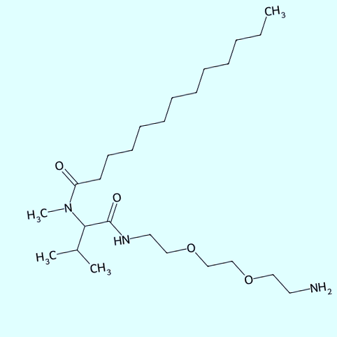 CCCCCCCCCCCCC(=O)N(C)C(C(=O)NCCOCCOCCN)C(C)C